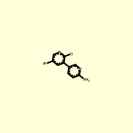 CC(C)c1cnc(Cl)c(-c2ccc(N)nc2)c1